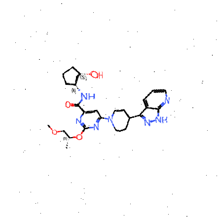 COC[C@@H](C)Oc1nc(C(=O)N[C@@H]2CCC[C@@H]2O)cc(N2CCC(c3n[nH]c4ncccc34)CC2)n1